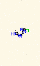 C=Nc1ccc(Cl)nc1/C=C(\C)c1cnn(CC2CCCNC2)c1